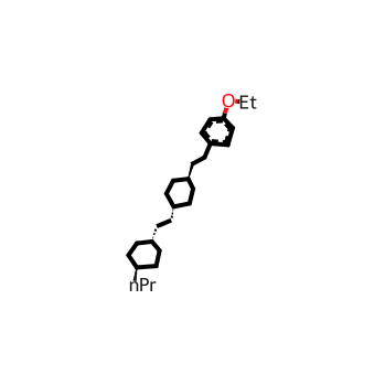 CCC[C@H]1CC[C@H](CC[C@H]2CC[C@H](CCc3ccc(OCC)cc3)CC2)CC1